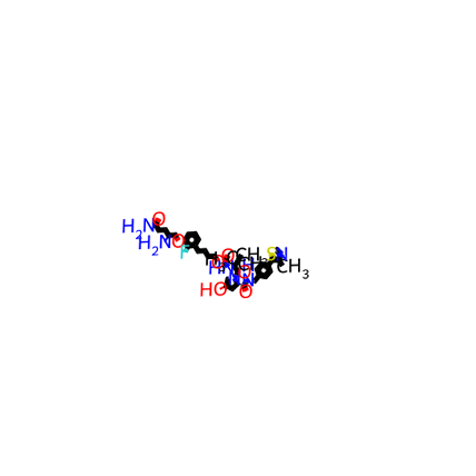 Cc1ncsc1-c1ccc(CNC(=O)[C@@H]2C[C@@H](O)CN2C(=O)[C@@H](NC(=O)OCCCCc2cccc(OC[C@@H](N)CCC(N)=O)c2F)C(C)(C)C)cc1